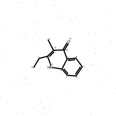 CCc1[nH]c2ccccc2c(=O)c1C